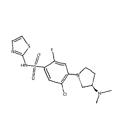 CN(C)[C@@H]1CCN(c2cc(F)c(S(=O)(=O)Nc3nccs3)cc2Cl)C1